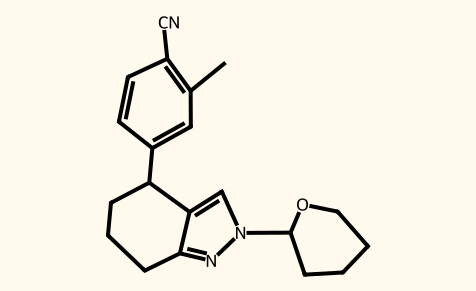 Cc1cc(C2CCCc3nn(C4CCCCO4)cc32)ccc1C#N